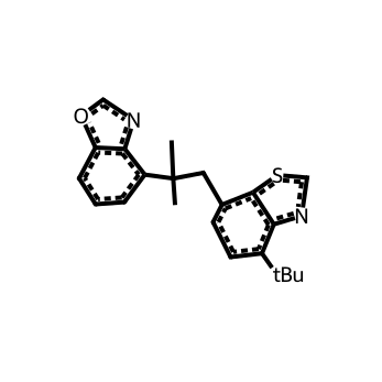 CC(C)(C)c1ccc(CC(C)(C)c2cccc3ocnc23)c2scnc12